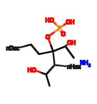 CCCCCCCCCCCCC(OP(=O)(O)O)(C(C)O)C(CCCCCC)C(C)O.N